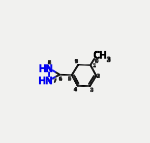 CC1C=CC=C(C2NN2)C1